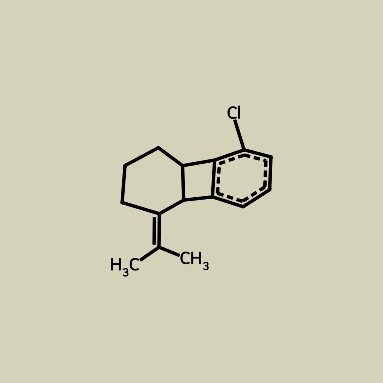 CC(C)=C1CCCC2c3c(Cl)cccc3C12